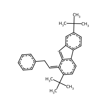 CC(C)(C)c1ccc2c(c1)[C]=c1c-2ccc(C(C)(C)C)c1=CCc1ccccc1